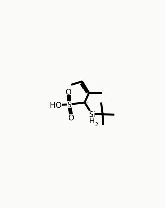 CC=C(C)[C]([SiH2]C(C)(C)C)S(=O)(=O)O